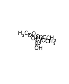 CCOC(=O)OC(=O)[C@@H]1C[C@@H](O)CN1C(=O)OC(C)(C)C